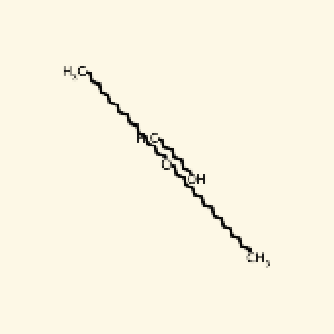 CCCCCCCCCCCCCCCCCCOCCCCCCCCCCCCCCCCCC.CCCCCCCCO